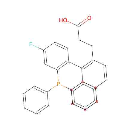 O=C(O)CCc1ccc2ccccc2c1-c1ccc(F)cc1P(c1ccccc1)c1ccccc1